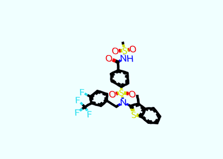 Cc1c(N(Cc2ccc(F)c(C(F)(F)F)c2)S(=O)(=O)c2ccc(C(=O)NS(C)(=O)=O)cc2)sc2ccccc12